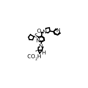 C[C@@]12CN(c3ccc(C(=O)N4CCC(c5cccnc5)C4)c(SC4CCCC4)n3)C[C@H]1C2C(=O)O